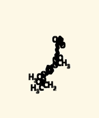 C=C(C)C(=O)OC(C)OCC1CCC(COC(C)OC(=O)CCCCCN2C(=O)C=CC2=O)CC1